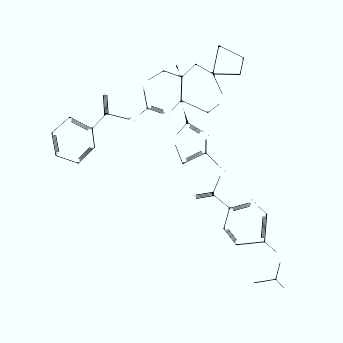 O=C(NC1=N[C@@]2(c3nc(NC(=O)c4ccc(OC(F)F)cn4)cs3)COC3(CCC3)C[C@H]2CO1)c1ccccc1